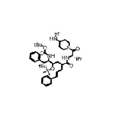 CCNC1CCN(C(=O)[C@@H](NC(=O)C(CC=Cc2ccccc2)CC(O[Si](C)(C)C(C)(C)C)C(Cc2ccccc2)NC(=O)OC(C)(C)C)C(C)C)CC1